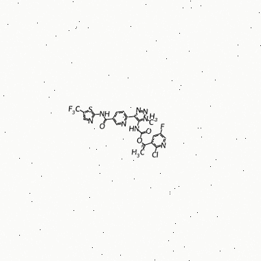 C[C@@H](OC(=O)Nc1c(-c2ccc(C(=O)Nc3ncc(C(F)(F)F)s3)cn2)nnn1C)c1cc(F)cnc1Cl